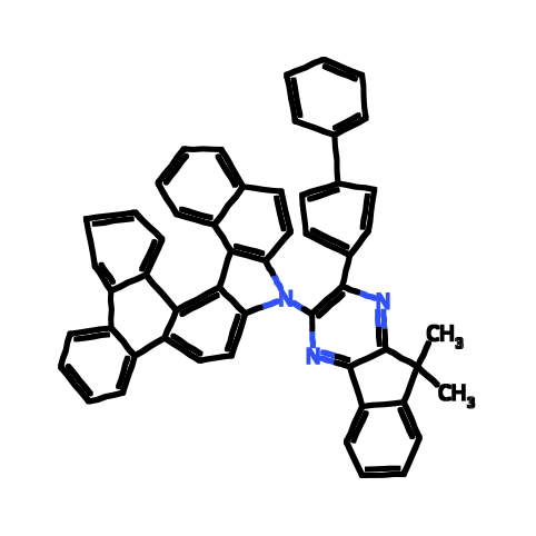 CC1(C)c2ccccc2-c2nc(-n3c4ccc5ccccc5c4c4c5c6ccccc6c6ccccc6c5ccc43)c(-c3ccc(-c4ccccc4)cc3)nc21